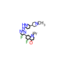 CC(C)n1ccc(=O)c2c(F)cc(-c3nc(Nc4ccc(C5CCN(C)CC5)cn4)ncc3F)cc21